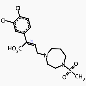 CS(=O)(=O)N1CCCN(C/C=C(\C(=O)O)c2ccc(Cl)c(Cl)c2)CC1